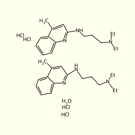 CCN(CC)CCCNc1cc(C)c2ccccc2n1.CCN(CC)CCCNc1cc(C)c2ccccc2n1.Cl.Cl.Cl.Cl.O